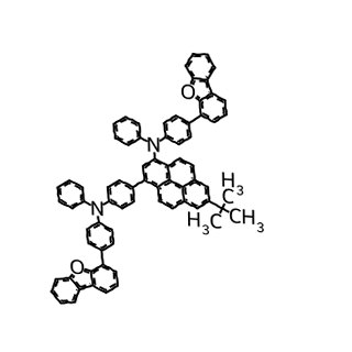 CC(C)(C)c1cc2ccc3c(-c4ccc(N(c5ccccc5)c5ccc(-c6cccc7c6oc6ccccc67)cc5)cc4)cc(N(c4ccccc4)c4ccc(-c5cccc6c5oc5ccccc56)cc4)c4ccc(c1)c2c34